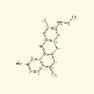 C=c1cc2c(c3cc(O)ccc13)=Nc1cc(C)c(NCC)cc1O2